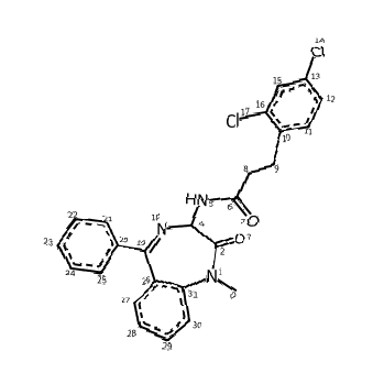 CN1C(=O)C(NC(=O)CCc2ccc(Cl)cc2Cl)N=C(c2ccccc2)c2ccccc21